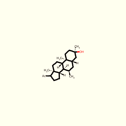 CC(=O)C1CC[C@H]2[C@@H]3[C@H](C)C[C@H]4C[C@](C)(O)CC[C@]4(C)[C@H]3CC[C@]12C